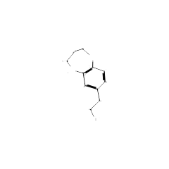 CC(C)CCc1ccc2c(c1)OC[C]CO2